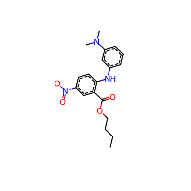 CCCCOC(=O)c1cc([N+](=O)[O-])ccc1Nc1cccc(N(C)C)c1